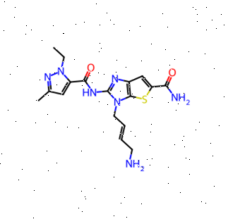 CCn1nc(C)cc1C(=O)Nc1nc2cc(C(N)=O)sc2n1C/C=C/CN